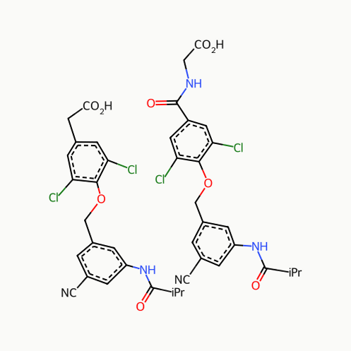 CC(C)C(=O)Nc1cc(C#N)cc(COc2c(Cl)cc(C(=O)NCC(=O)O)cc2Cl)c1.CC(C)C(=O)Nc1cc(C#N)cc(COc2c(Cl)cc(CC(=O)O)cc2Cl)c1